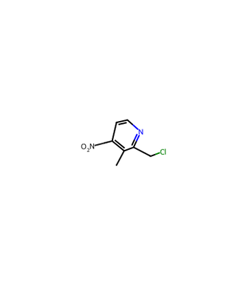 Cc1c([N+](=O)[O-])ccnc1CCl